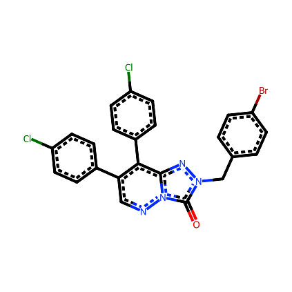 O=c1n(Cc2ccc(Br)cc2)nc2c(-c3ccc(Cl)cc3)c(-c3ccc(Cl)cc3)cnn12